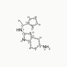 CC(Nc1nc2[c]cc(N)cc2s1)c1cccs1